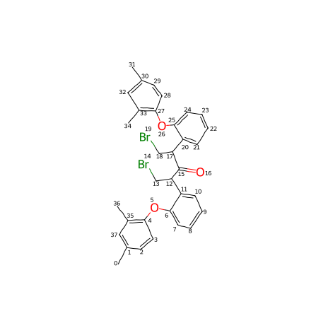 Cc1ccc(Oc2ccccc2C(CBr)C(=O)C(CBr)c2ccccc2Oc2ccc(C)cc2C)c(C)c1